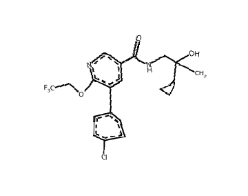 CC(O)(CNC(=O)c1cnc(OCC(F)(F)F)c(-c2ccc(Cl)cc2)c1)C1CC1